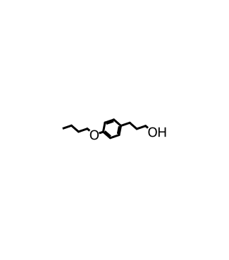 CCCCOc1ccc(CCCO)cc1